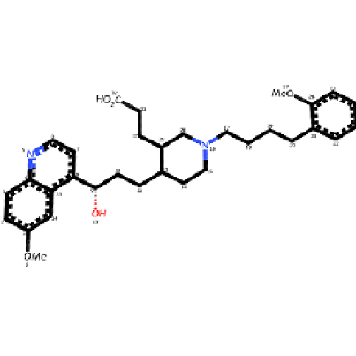 COc1ccc2nccc([C@@H](O)CCC3CCN(CCCCc4ccccc4OC)CC3CCC(=O)O)c2c1